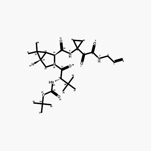 C=CCNC(=O)C(=O)C1(NC(=O)[C@@H]2C3[C@H](CN2C(=O)[C@@H](NC(=O)OC(C)(C)C)C(C)(C)C)C3(C)C)CC1